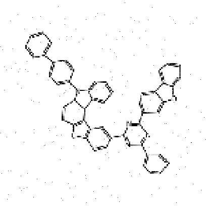 C1=CC2C(c3ccccc3N2c2ccc(-c3ccccc3)cc2)c2c1oc1ccc(-c3nc(-c4ccccc4)nc(-c4ccc5c(c4)oc4ccccc45)n3)cc21